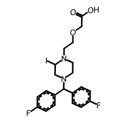 O=C(O)COCCN1CCN(C(c2ccc(F)cc2)c2ccc(F)cc2)CC1I